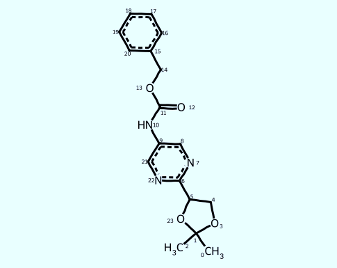 CC1(C)OCC(c2ncc(NC(=O)OCc3ccccc3)cn2)O1